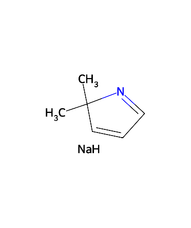 CC1(C)C=CC=N1.[NaH]